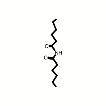 CCCCCC(=O)NC(=O)CCCCC